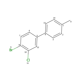 Cc1ccc(-c2ccc(Br)c(Cl)c2)cc1